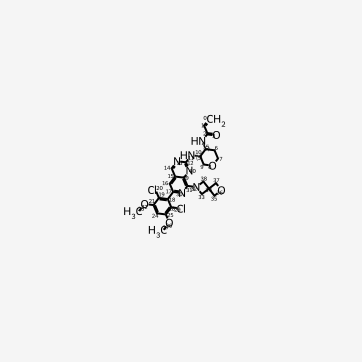 C=CC(=O)N[C@H]1CCOC[C@H]1Nc1ncc2cc(-c3c(Cl)c(OC)cc(OC)c3Cl)nc(N3CC4(COC4)C3)c2n1